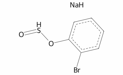 O=[SH]Oc1ccccc1Br.[NaH]